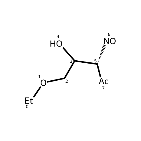 CCOCC(O)[C@H](N=O)C(C)=O